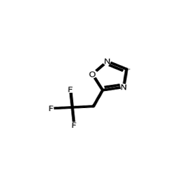 FC(F)(F)Cc1n[c]no1